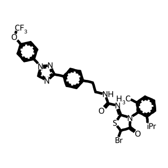 Cc1cccc(C(C)C)c1N1C(=O)C(Br)S/C1=N\C(=O)NCCc1ccc(-c2ncn(-c3ccc(OC(F)(F)F)cc3)n2)cc1